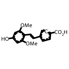 COc1cc(O)cc(OC)c1C=Cc1ccc(C(=O)O)cc1